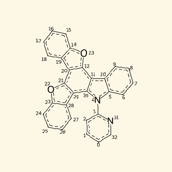 c1ccc(-n2c3ccccc3c3c4oc5ccccc5c4c4oc5ccccc5c4c32)nc1